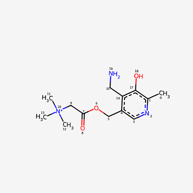 Cc1ncc(COC(=O)C[N+](C)(C)C)c(CN)c1O